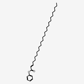 CCCCCCCCCCCCCCCCCCCCCCCCCC=CC(=O)Oc1ccccc1